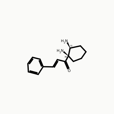 N[C@H]1CCCC[C@]1(N)C(=O)C=Cc1ccccc1